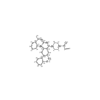 C=CC(=O)N1CCN(c2nc(=O)n(-c3ccccc3C(C)C)c3cc(-c4ccccc4F)c(Cl)cc23)CC1